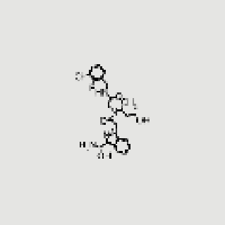 CC(CCO)N(CC(=O)NCc1cccc(Cl)c1F)C(=O)Cn1nc(C(N)O)c2ccccc21